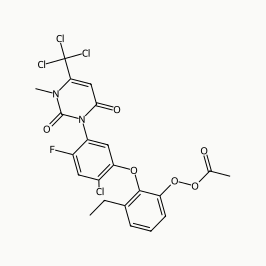 CCc1cccc(OOC(C)=O)c1Oc1cc(-n2c(=O)cc(C(Cl)(Cl)Cl)n(C)c2=O)c(F)cc1Cl